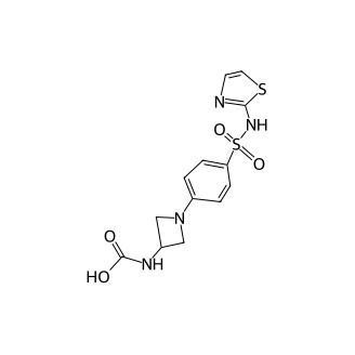 O=C(O)NC1CN(c2ccc(S(=O)(=O)Nc3nccs3)cc2)C1